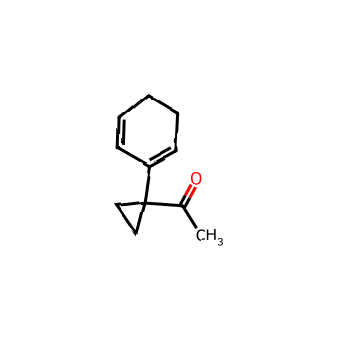 CC(=O)C1(C2=CCCC=C2)CC1